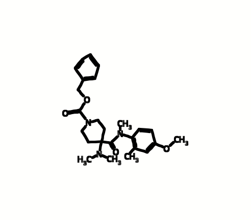 COc1ccc(N(C)C(=O)C2(N(C)C)CCN(C(=O)OCc3ccccc3)CC2)c(C)c1